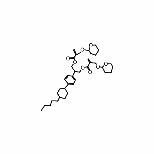 C=C(COC1CCCCO1)C(=O)OCC(COC(=O)C(=C)COC1CCCCO1)c1ccc(C2CCC(CCCCC)CC2)cc1